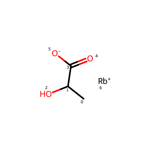 CC(O)C(=O)[O-].[Rb+]